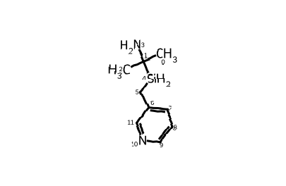 CC(C)(N)[SiH2]Cc1cccnc1